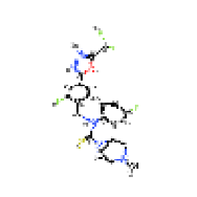 CN1CC2CC1CN2C(=S)N(Cc1ccc(-c2nnc(C(F)F)o2)cc1F)c1ccc(F)cc1